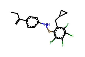 C=C(CC)c1ccc(NSc2c(F)c(F)c(F)c(F)c2CC2CC2)cc1